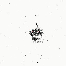 CC1(C)CCCCOO1.CCCCCC(C)OOC.CCCCCC(C)OOC.CCCCCCC(C)OOC.CCCCCCCC(C)OOC.CCCCCCCCCCCCCCCC